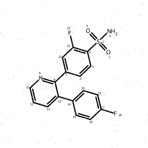 NS(=O)(=O)c1ccc(-c2ncccc2-c2ccc(F)cc2)cc1F